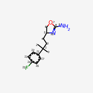 CC(C)(CCC1COC(N)=N1)c1ccc(F)cc1